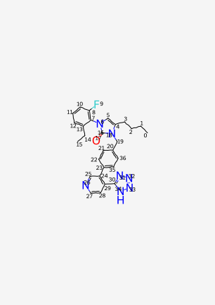 CCCCc1cn(-c2c(F)cccc2CC)c(=O)n1Cc1ccc(-c2cnccc2-c2nnn[nH]2)cc1